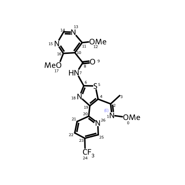 CO/N=C(\C)c1sc(NC(=O)c2c(OC)ncnc2OC)nc1-c1ccc(C(F)(F)F)cn1